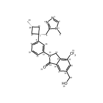 Cn1cnnc1C[C@]1(c2cccc(N3Cc4c(cc(CO)cc4C(F)(F)F)C3=O)c2)C[C@H](C)C1